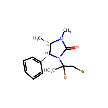 C[C@H]1[C@@H](c2ccccc2)N(C(Br)(CBr)C(=O)O)C(=O)N1C